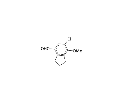 COc1c(Cl)cc(C=O)c2c1CCC2